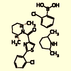 CC1CCCC(C)N1.C[C@@H]1CCC[C@H](C)N1C(=O)c1csc(-c2ccccc2Cl)n1.OB(O)c1ccccc1Cl